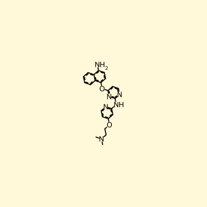 CN(C)CCOc1ccnc(Nc2nccc(Oc3ccc(N)c4ccccc34)n2)c1